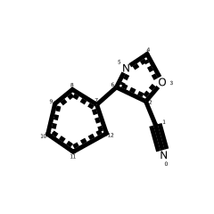 N#Cc1o[c]nc1-c1ccccc1